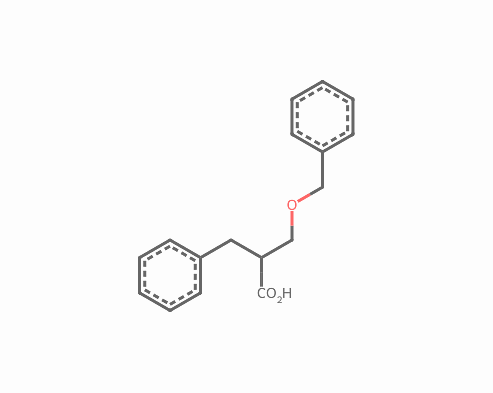 O=C(O)C(COCc1ccccc1)Cc1ccccc1